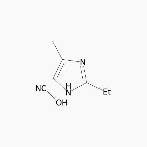 CCc1nc(C)c[nH]1.N#CO